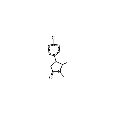 CC1C(c2ccc(Cl)cc2)CC(=O)N1C